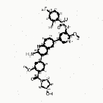 COc1cc(-c2cc3cc(-c4cnc(OC)c(NS(=O)(=O)c5ccc(F)cc5F)c4)ccc3nc2N)ccc1C(=O)N1CC[C@H](O)C1